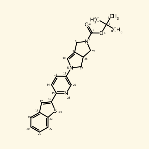 CC(C)(C)OC(=O)N1CC2=CN(c3ccc(-c4cc5ccccc5s4)nc3)CC2C1